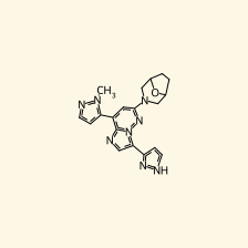 Cn1nccc1-c1cc(N2CC3CCC(C2)O3)nn2c(-c3cc[nH]n3)cnc12